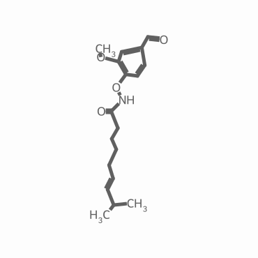 COc1cc(C=O)ccc1ONC(=O)CCCCC=CC(C)C